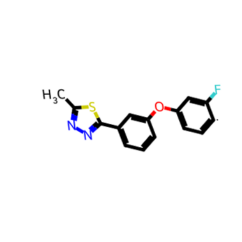 Cc1nnc(-c2cccc(Oc3cc[c]c(F)c3)c2)s1